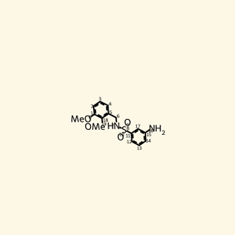 COc1cccc(CNS(=O)(=O)c2cccc(N)c2)c1OC